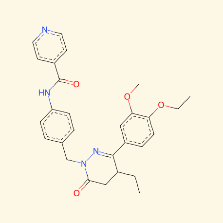 CCOc1ccc(C2=NN(Cc3ccc(NC(=O)c4ccncc4)cc3)C(=O)CC2CC)cc1OC